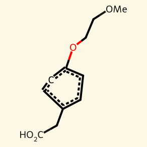 COCCOc1ccc(CC(=O)O)cc1